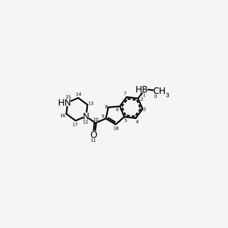 CBc1ccc2c(c1)CC(C(=O)N1CCNCC1)=C2